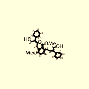 COC(=O)c1c(C/C=C(\CO)c2ccccc2)ccc(OC)c1CC=C(CO)c1ccccc1